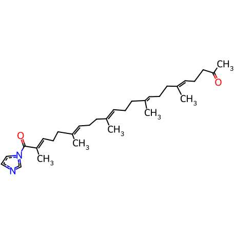 CC(=O)CC/C=C(\C)CC/C=C(\C)CC/C=C(\C)CC/C=C(\C)CC/C=C(\C)C(=O)n1ccnc1